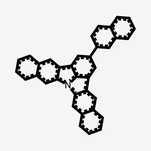 c1ccc2cc(-c3cc4c5cc6ccccc6cc5n5c6cc7ccccc7cc6c(c3)c45)ccc2c1